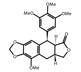 COc1cc([C@@H]2c3cc4c(c(OC)c3C[C@H]3COC(=O)[C@@H]32)OCO4)cc(OC)c1OC